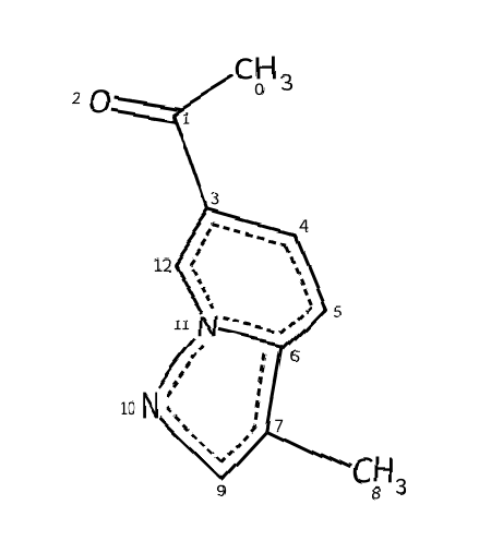 CC(=O)c1ccc2c(C)cnn2c1